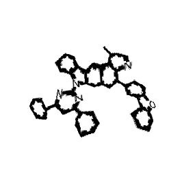 Cc1ccnc2c(-c3ccc4oc5ccccc5c4c3)cc3cc4c(cc3c12)c1ccccc1n4-c1nc(-c2ccccc2)cc(-c2ccccc2)n1